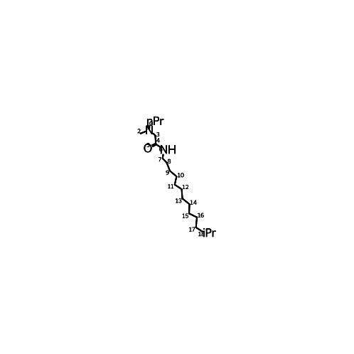 CCCN(C)CC(=O)NCCCCCCCCCCCC(C)C